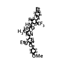 CCOc1cc(-c2ncc(NC(=O)Nc3cc(C(F)(F)F)c(CN4CCN(CC)CC4)cc3F)c(C)n2)cnc1OCc1ccc(OC)cc1